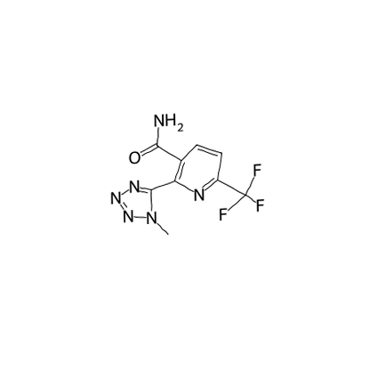 Cn1nnnc1-c1nc(C(F)(F)F)ccc1C(N)=O